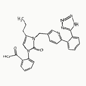 CCCc1cn(-c2ccccc2C(=O)O)c(=O)n1Cc1ccc(-c2ccccc2-c2nnn[nH]2)nc1